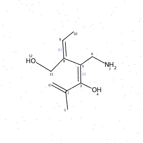 C=C(C)/C(O)=C(CN)\C(=C/C)CO